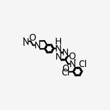 CN(C)C(=O)CN1CCc2cc(Nc3ncc4c(n3)OCN(c3c(Cl)cccc3Cl)C4=O)ccc2C1